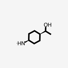 CC(O)[C@H]1CC[C@@H]([NH])CC1